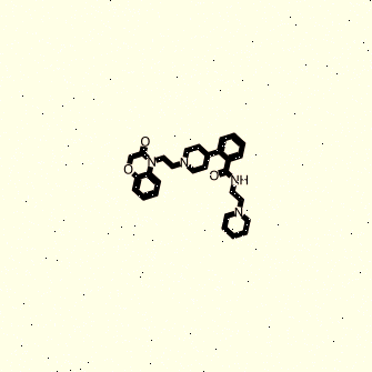 O=C(NCCN1CCCCC1)c1ccccc1C1CCN(CCN2C(=O)COc3ccccc32)CC1